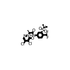 C[C@@H](C(=O)Nc1ccc(C(F)F)c(S(=O)(=O)N(C)C)c1)n1ncc(Cl)c(Cl)c1=O